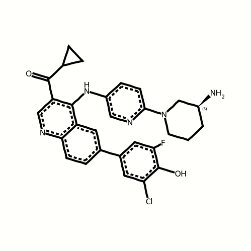 N[C@H]1CCCN(c2ccc(Nc3c(C(=O)C4CC4)cnc4ccc(-c5cc(F)c(O)c(Cl)c5)cc34)cn2)C1